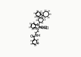 Cl.Cl.O=C(NCCn1c(=O)n(C2CCN(C3(c4ccccc4)CCCCCC3)CC2)c2ccccc21)c1cccnc1